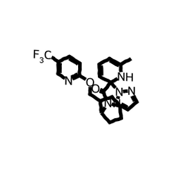 CC1=CC=CC(C(=O)N2C3CCC2C(COc2ccc(C(F)(F)F)cn2)C3)(n2nccn2)N1